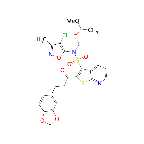 COC(C)OCN(c1onc(C)c1Cl)S(=O)(=O)c1c(C(=O)CCc2ccc3c(c2)OCO3)sc2ncccc12